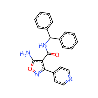 Nc1onc(-c2ccncc2)c1C(=O)NC(c1ccccc1)c1ccccc1